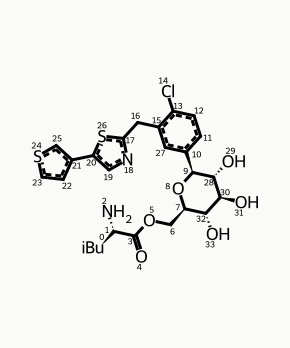 CC[C@H](C)[C@H](N)C(=O)OC[C@H]1O[C@@H](c2ccc(Cl)c(Cc3ncc(-c4ccsc4)s3)c2)[C@H](O)[C@@H](O)[C@@H]1O